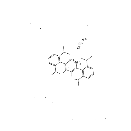 CC(C(C)=C(N)c1c(C(C)C)cccc1C(C)C)=C(N)c1c(C(C)C)cccc1C(C)C.[Cl-].[Cl-].[Ni+2]